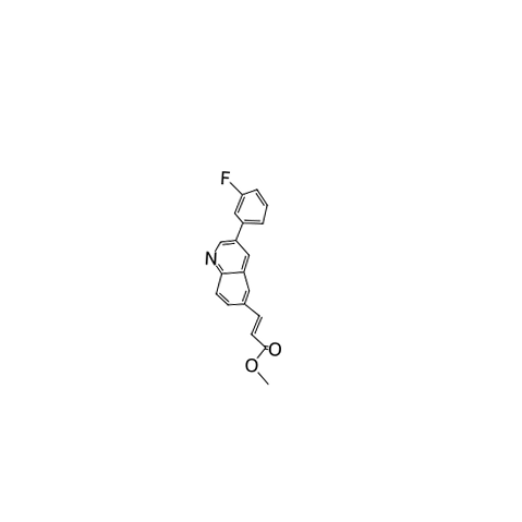 COC(=O)C=Cc1ccc2ncc(-c3cccc(F)c3)cc2c1